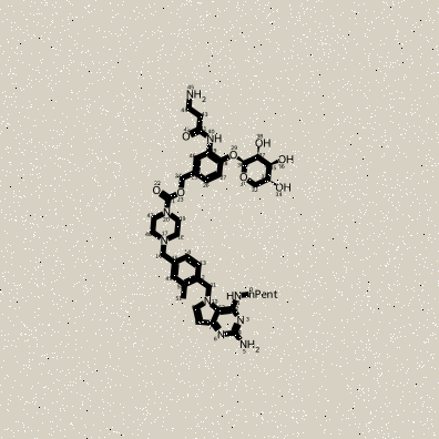 CCCCCNc1nc(N)nc2ccn(Cc3ccc(CN4CCN(C(=O)OCc5ccc(O[C@@H]6OC[C@@H](O)[C@H](O)[C@H]6O)c(NC(=O)CCN)c5)CC4)cc3C)c12